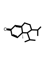 CC(C)C1CCC2=CC(=O)C=C[C@]2(C)C1C(C)C